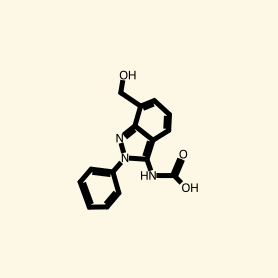 O=C(O)Nc1c2cccc(CO)c2nn1-c1ccccc1